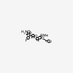 COc1cc2c(Oc3ccc(N(C(=O)C4(C(N)=O)CC4)c4ccc(F)cc4)c(C)n3)ccnc2cc1OCCCN1CCOCC1